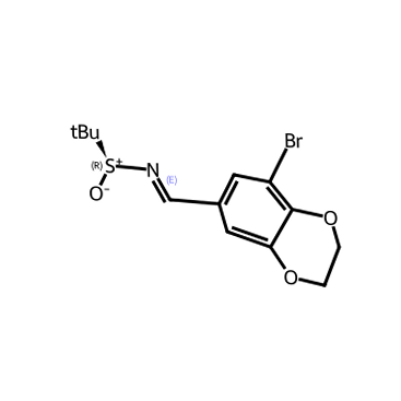 CC(C)(C)[S@+]([O-])/N=C/c1cc(Br)c2c(c1)OCCO2